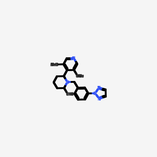 COc1cncc(OC)c1C1CCCC(C=O)N1Cc1cccc(-n2nccn2)c1